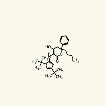 CCCCC1(c2ccccc2)CC(O)=C(Nc2nc(C(C)(C)C)cn2C(C)(C)C)C(=O)O1